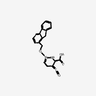 O=C=C1CCN(OCc2cccc3c2Cc2ccccc2-3)NC1C(=O)O